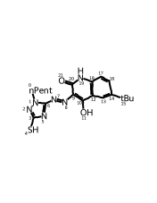 CCCCCn1nc(S)nc1N=Nc1c(O)c2cc(C(C)(C)C)ccc2[nH]c1=O